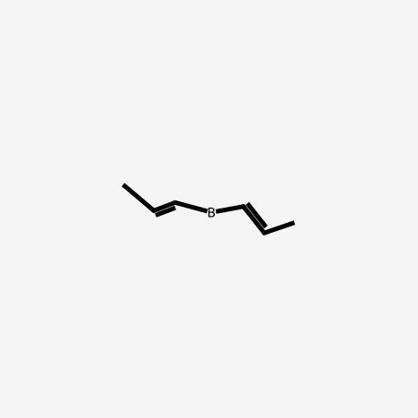 CC=C[B]C=CC